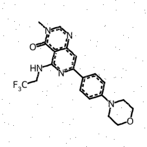 Cn1cnc2cc(-c3ccc(N4CCOCC4)cc3)nc(NCC(F)(F)F)c2c1=O